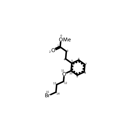 COC(=O)CCc1ccccc1OCCCBr